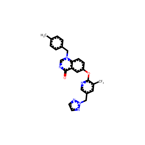 Cc1ccc(Cn2cnc(=O)c3cc(Oc4ncc(Cn5nccn5)cc4C(F)(F)F)ccc32)cc1